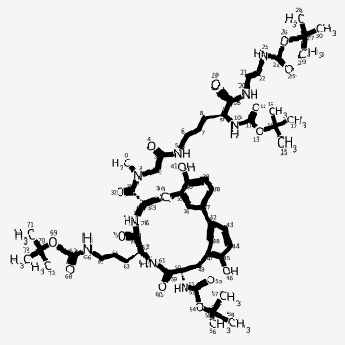 CN(CC(=O)NCCC[C@H](NC(=O)OC(C)(C)C)C(=O)NCCNC(=O)OC(C)(C)C)C(=O)[C@@H]1Cc2cc(ccc2O)-c2ccc(O)c(c2)C[C@H](NC(=O)OC(C)(C)C)C(=O)N[C@@H](CCCNC(=O)OC(C)(C)C)C(=O)N1